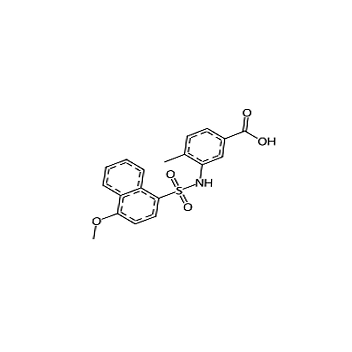 COc1ccc(S(=O)(=O)Nc2cc(C(=O)O)ccc2C)c2ccccc12